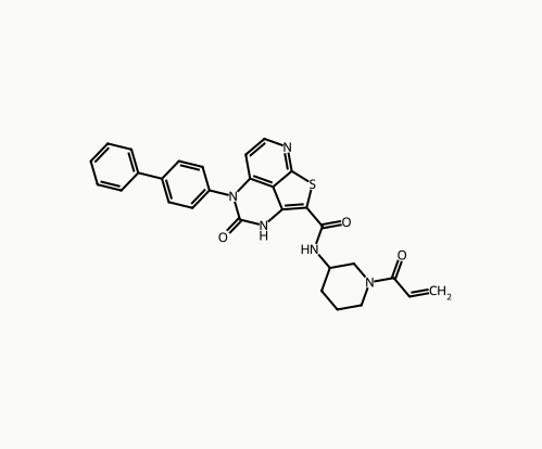 C=CC(=O)N1CCCC(NC(=O)c2sc3nccc4c3c2NC(=O)N4c2ccc(-c3ccccc3)cc2)C1